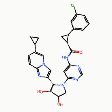 O=C(Nc1cc(N2C[C@@H](O)[C@@H](O)[C@@H]2c2cn3cc(C4CC4)ccc3n2)ncn1)[C@H]1CC1c1cccc(Cl)c1